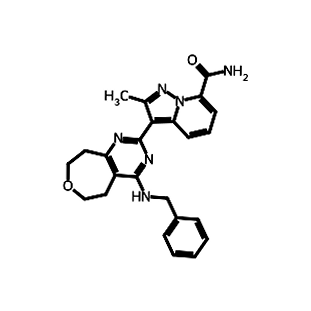 Cc1nn2c(C(N)=O)cccc2c1-c1nc2c(c(NCc3ccccc3)n1)CCOCC2